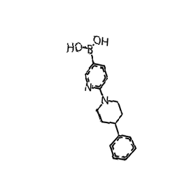 OB(O)c1ccc(N2CCC(c3ccccc3)CC2)nc1